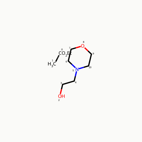 CCOC(C)=O.OCCN1CCOCC1